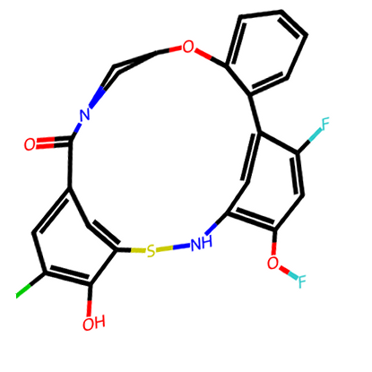 O=C1c2cc(Cl)c(O)c(c2)SNc2cc(c(F)cc2OF)-c2ccccc2OC2CN1C2